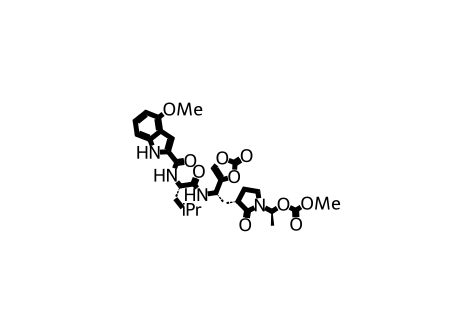 COC(=O)O[C@@H](C)N1CC[C@@H](C[C@H](NC(=O)[C@H](CC(C)C)NC(=O)c2cc3c(OC)cccc3[nH]2)c2coc(=O)o2)C1=O